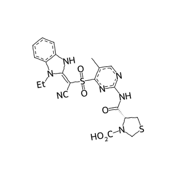 CCN1C(=C(C#N)S(=O)(=O)c2nc(NC(=O)[C@@H]3CSCN3C(=O)O)ncc2C)Nc2ccccc21